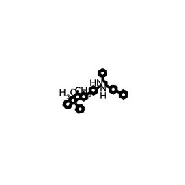 CC1(C)c2cc(-c3ccc(C4NC(c5ccc(-c6ccccc6)cc5)=CC(c5ccccc5)N4)cc3)ccc2-c2c1cc1ccccc1c2-c1ccccc1